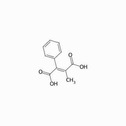 C/C(C(=O)O)=C(\C(=O)O)c1ccccc1